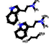 CN(C)CCc1c[nH]c2ccccc12.CN(C)CCc1c[nH]c2ccccc12.O=C(O)CCC(=O)O